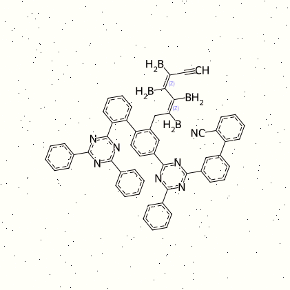 B/C(C#C)=C(B)/C(B)=C(/B)Cc1cc(-c2nc(-c3ccccc3)nc(-c3cccc(-c4ccccc4C#N)c3)n2)ccc1-c1ccccc1-c1nc(-c2ccccc2)nc(-c2ccccc2)n1